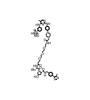 Cc1cnc(Nc2ccc(N3CCN(CC(=O)NCCOCCOCCOCCC(=O)N[C@H](C(=O)N4C[C@H](O)C[C@H]4C(=O)NCc4ccc(-c5scnc5C)cc4)C(C)(C)C)CC3)cc2)nc1Nc1cccc(S(=O)(=O)NC(C)(C)C)c1